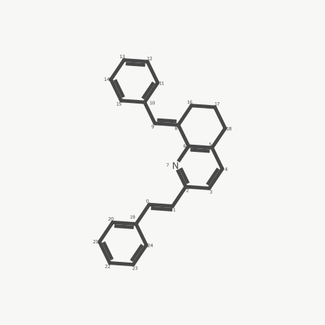 C(=Cc1ccc2c(n1)C(=Cc1ccccc1)CCC2)c1ccccc1